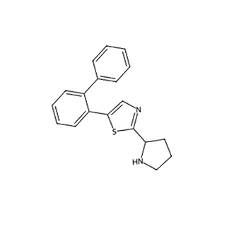 c1ccc(-c2ccccc2-c2cnc(C3CCCN3)s2)cc1